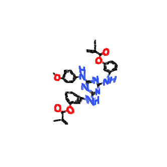 C=C(C)C(=O)Oc1cccc(Nc2nc(Nc3ccc(OC)cc3)nc(Nc3cccc(OC(=O)C(=C)C)c3)n2)c1